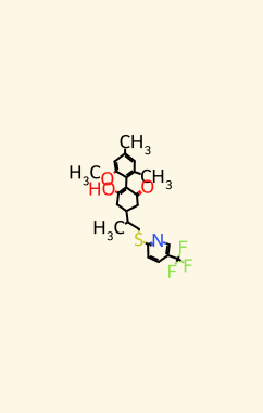 COc1cc(C)cc(C)c1C1=C(O)CC(C(C)CSc2ccc(C(F)(F)F)cn2)CC1=O